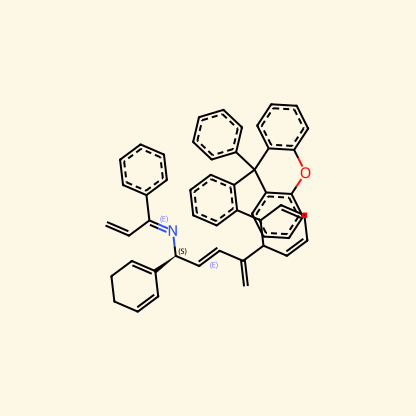 C=C/C(=N\[C@@H](/C=C/C(=C)C1C=CC=CC1c1ccccc1C1(c2ccccc2)c2ccccc2Oc2ccccc21)C1=CCCC=C1)c1ccccc1